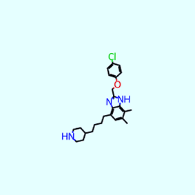 Cc1cc(CCCCC2CCNCC2)c2nc(COc3ccc(Cl)cc3)[nH]c2c1C